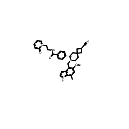 COc1cc(C)c2[nH]ccc2c1CN1CCC2(CC(C#N)C2)C[C@H]1c1ccc(C(=O)NCCn2ccccc2=O)cc1